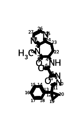 CN1C(=O)C(NC(=O)c2nnc(C3(c4ccccc4)CC3)o2)CCc2nccnc21